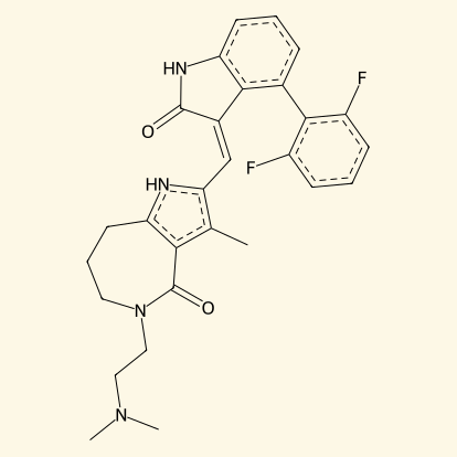 Cc1c(C=C2C(=O)Nc3cccc(-c4c(F)cccc4F)c32)[nH]c2c1C(=O)N(CCN(C)C)CCC2